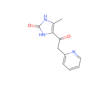 Cc1[nH]c(=O)[nH]c1C(=O)Cc1ccccn1